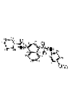 COc1ccc(NS(=O)(=O)c2ccc(NC(=O)C3CCCCC3)c3ccccc23)cc1